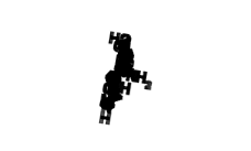 NCc1cc(-c2cccc(NC(=O)C3CC3c3c[nH]cn3)c2)ccc1O[C@H]1CCN(C(=O)CO)C[C@H]1F